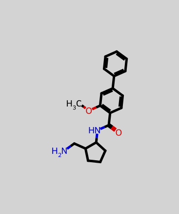 COc1cc(-c2ccccc2)ccc1C(=O)NC1CCCC1CN